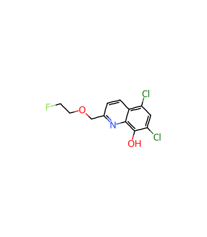 Oc1c(Cl)cc(Cl)c2ccc(COCCF)nc12